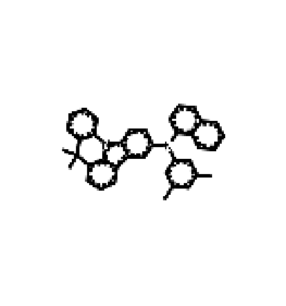 Cc1cc(C)cc(N(c2ccc3c(c2)c2cccc4c2n3-c2ccccc2C4(C)C)c2cccc3ccccc23)c1